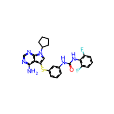 Nc1ncnc2c1c(Sc1cccc(NC(=O)Nc3c(F)cccc3F)c1)cn2C1CCCC1